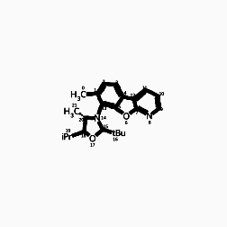 Cc1ccc2c(oc3ncccc32)c1N1C(C(C)(C)C)OC(C(C)C)[C@@H]1C